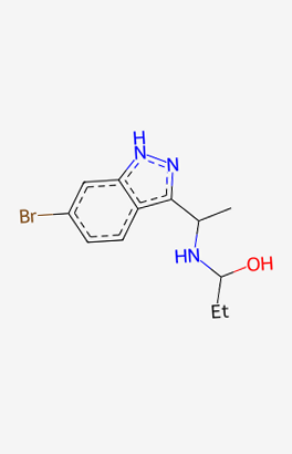 CCC(O)NC(C)c1n[nH]c2cc(Br)ccc12